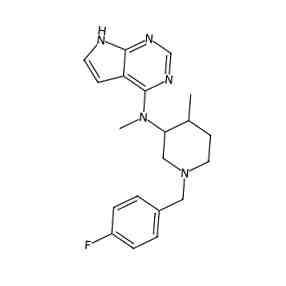 CC1CCN(Cc2ccc(F)cc2)CC1N(C)c1ncnc2[nH]ccc12